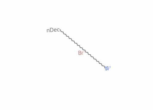 CCCCCCCCCCCCCCCCCCCCCCCCCCCCCCCCCCCCCCCCCCCC[N+](C)(C)C.[Br-]